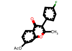 CC(=O)Oc1ccc2c(=O)c(-c3ccc(F)cc3)c(C)oc2c1